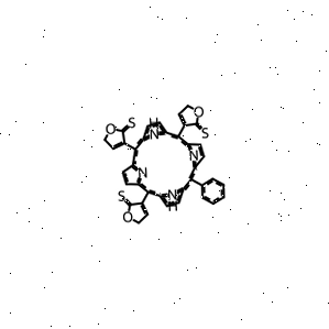 S=C1OCC=C1c1c2nc(c(C3=CCOC3=S)c3ccc([nH]3)c(-c3ccccc3)c3nc(c(C4=CCOC4=S)c4ccc1[nH]4)C=C3)C=C2